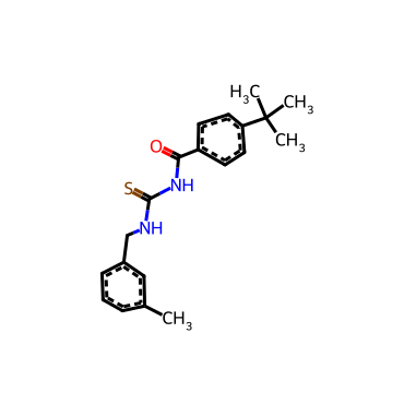 Cc1cccc(CNC(=S)NC(=O)c2ccc(C(C)(C)C)cc2)c1